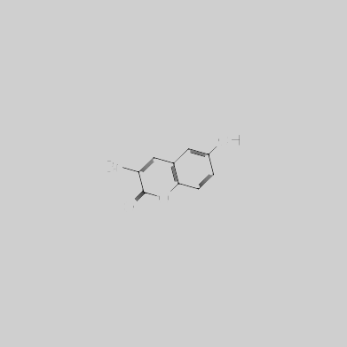 O=c1oc2ccc(O)cc2cc1Br